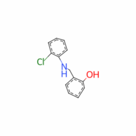 Oc1ccccc1CNc1ccccc1Cl